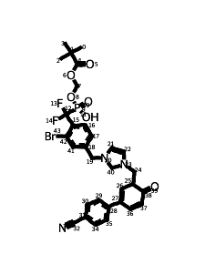 CC(C)(C)C(=O)OCOP(=O)(O)C(F)(F)c1ccc(CN2C=CN(CC3C=C(c4ccc(C#N)cc4)C=CC3=O)C2)cc1Br